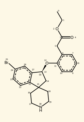 CCOC(=O)Cc1ccccc1O[C@H]1CC2(CCNCC2)c2ccc(Br)cc21